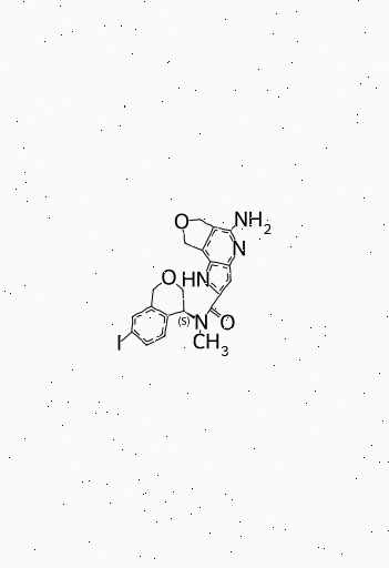 CN(C(=O)c1cc2nc(N)c3c(c2[nH]1)COC3)[C@@H]1COCc2cc(I)ccc21